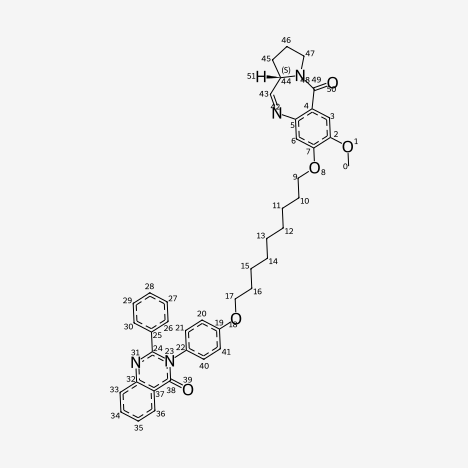 COc1cc2c(cc1OCCCCCCCCCOc1ccc(-n3c(-c4ccccc4)nc4ccccc4c3=O)cc1)N=C[C@@H]1CCCN1C2=O